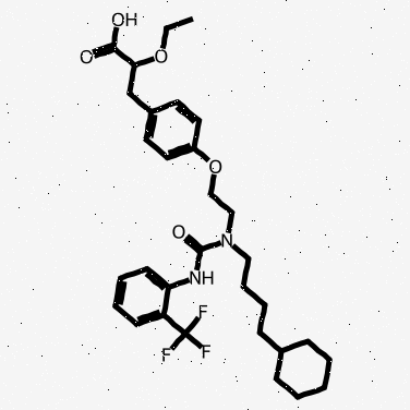 CCOC(Cc1ccc(OCCN(CCCCC2CCCCC2)C(=O)Nc2ccccc2C(F)(F)F)cc1)C(=O)O